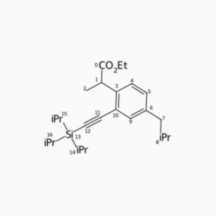 CCOC(=O)C(C)c1ccc(CC(C)C)cc1C#C[Si](C(C)C)(C(C)C)C(C)C